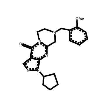 COc1ccccc1CN1CCn2c(nc3c(cnn3C3CCCC3)c2=O)C1